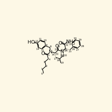 CCCCCC(=O)N(Cc1ccc(O)cc1)[C@@H](CC(C)C)C(=O)N[C@@H](Cc1ccccc1)C(N)=O